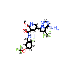 COc1ncc(-c2cc(C(F)(F)F)c3c(N)ncnn23)cc1C(=O)NCc1cc(OC(F)(F)F)ccc1F